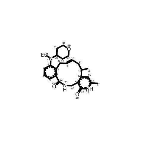 CCN(c1cccc2c1C/C=C/CC(C)c1cc(C)[nH]c(=O)c1CNC2=O)C1CCOCC1